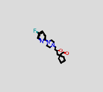 O=C1OC(CCN2CCN(c3ccc(F)cn3)CC2)CC12CCCC2